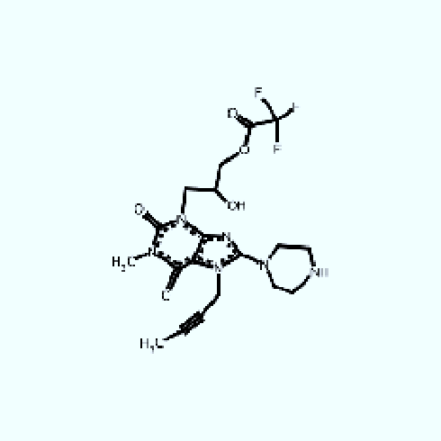 CC#CCn1c(N2CCNCC2)nc2c1c(=O)n(C)c(=O)n2CC(O)COC(=O)C(F)(F)F